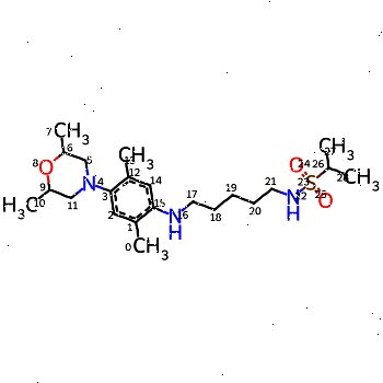 Cc1cc(N2CC(C)OC(C)C2)c(C)cc1NCCCCCNS(=O)(=O)C(C)C